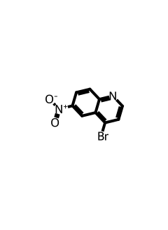 O=[N+]([O-])c1ccc2nccc(Br)c2c1